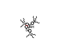 CCCC[Si](CCCC)(CCCC)c1ccc(P(NP(c2ccc([Si](CCCC)(CCCC)CCCC)cc2)c2ccccc2[Si](C)(C)C)c2ccc([Si](CCCC)(CCCC)CCCC)cc2)cc1